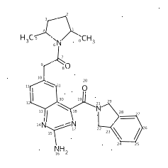 CC1CCC(C)N1C(=O)Cc1ccc2nc(N)nc(C(=O)N3Cc4ccccc4C3)c2c1